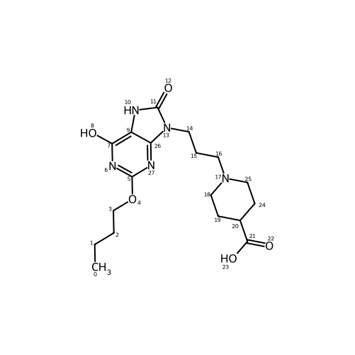 CCCCOc1nc(O)c2[nH]c(=O)n(CCCN3CCC(C(=O)O)CC3)c2n1